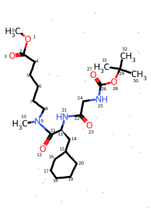 COC(=O)CCCCCN(C)C(=O)[C@H](CC1CCCCC1)NC(=O)CNC(=O)OC(C)(C)C